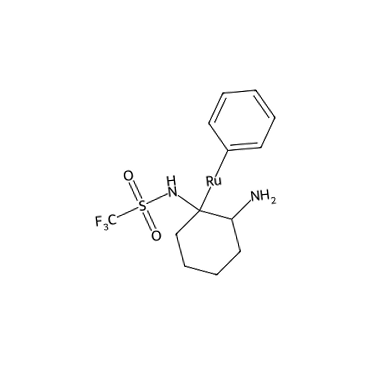 NC1CCCC[C]1(NS(=O)(=O)C(F)(F)F)[Ru][c]1ccccc1